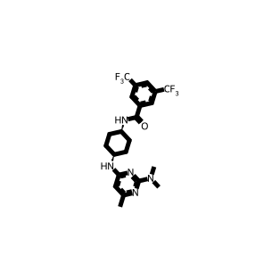 Cc1cc(N[C@H]2CC[C@@H](NC(=O)c3cc(C(F)(F)F)cc(C(F)(F)F)c3)CC2)nc(N(C)C)n1